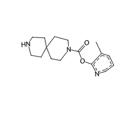 Cc1cccnc1OC(=O)N1CCC2(CCNCC2)CC1